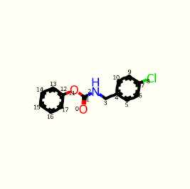 O=C(NCc1ccc(Cl)cc1)Oc1ccccc1